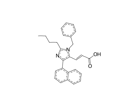 CCCCc1nc(-c2cccc3ccccc23)c(/C=C/C(=O)O)n1Cc1ccccc1